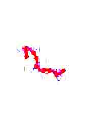 Cc1ccc(NC(=O)Nc2ccc(S(=O)(=O)c3ccc(NC(=O)Nc4ccc(C)c(NC(=O)Nc5ccc(S(=O)(=O)c6ccc(NC(=O)Nc7ccc(C)c(NC(=O)Oc8ccccc8)c7)cc6)cc5)c4)cc3)cc2)cc1NCOc1ccccc1